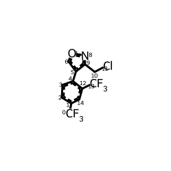 FC(F)(F)c1ccc(-c2conc2CCl)c(C(F)(F)F)c1